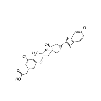 CCN(C)C1(CCOc2cc(Cl)cc(CC(=O)O)c2)CCN(c2nc3ccc(Cl)cc3s2)CC1